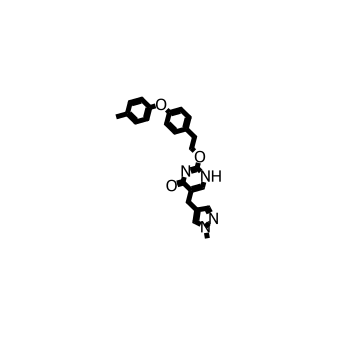 Cc1ccc(Oc2ccc(CCOc3nc(=O)c(Cc4cnn(C)c4)c[nH]3)cc2)cc1